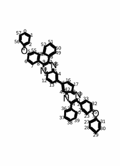 c1ccc(Oc2ccc(-c3nc4ccc(-c5ccc6nc(-c7ccc(Oc8ccccc8)cc7)c(-c7ccccc7)nc6c5)cc4nc3-c3ccccc3)cc2)cc1